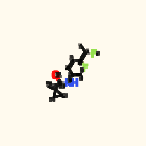 C=C(/C=C\C(F)=C(/C)F)NC(=O)C1(C)CC1